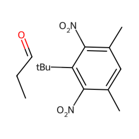 CCC=O.Cc1cc(C)c([N+](=O)[O-])c(C(C)(C)C)c1[N+](=O)[O-]